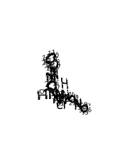 Cc1cc(N=Nc2ccc3ccccc3c2)ccc1Nc1nc(Cl)nc(Nc2ccc(N=Nc3ccccc3)cc2)n1